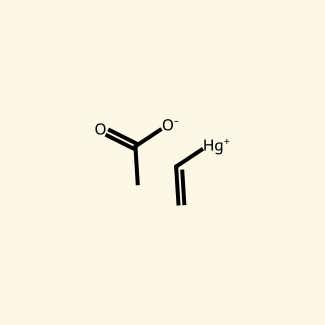 C=[CH][Hg+].CC(=O)[O-]